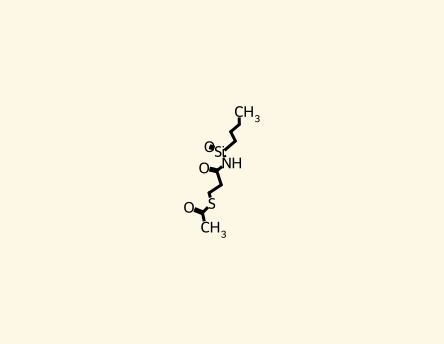 CCCC[Si](=O)NC(=O)CCSC(C)=O